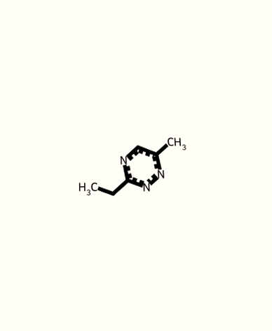 CCc1ncc(C)nn1